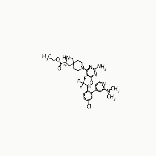 CCOC(=O)[C@@H]1CC2(CCN(c3cc(O[C@H](c4ccc(Cl)cc4-c4ccnc(N(C)C)c4)C(F)(F)F)nc(N)n3)CC2)CN1